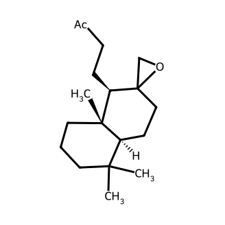 CC(=O)CC[C@H]1C2(CC[C@H]3C(C)(C)CCC[C@@]31C)CO2